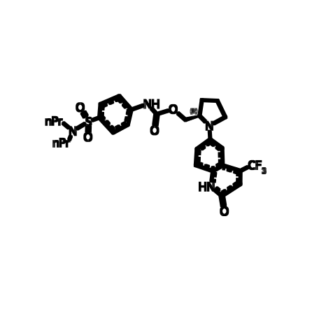 CCCN(CCC)S(=O)(=O)c1ccc(NC(=O)OC[C@H]2CCCN2c2ccc3[nH]c(=O)cc(C(F)(F)F)c3c2)cc1